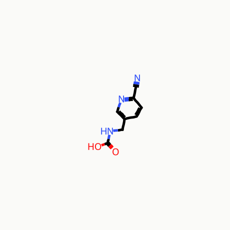 N#Cc1ccc(CNC(=O)O)cn1